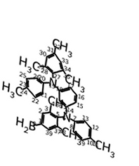 Bc1cc(C)c(N(c2ccc(C)cc2)c2cccc(N(c3ccc(C)cc3)c3c(C)cc(C)cc3C)c2)c(C)c1